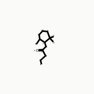 CCCC(=O)C[C]1C(C)CCCC1(C)C